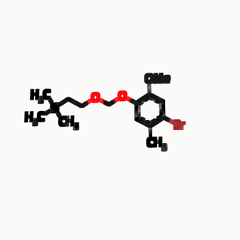 COc1cc(Br)c(C)cc1OCOCC[Si](C)(C)C